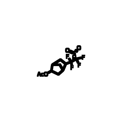 CC(=O)OC1CC2CC1CC2C(F)(F)C(F)(F)[SH](=O)=O